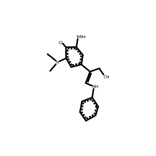 CNc1cc(C(=CNc2ccccc2)CC#N)cc(N(C)C)c1Cl